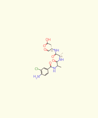 CC(NC(=O)c1ccc(N)c(Cl)c1)C(=O)N[C@@H](C)C(=O)N[C@H](C=O)CC(=O)O